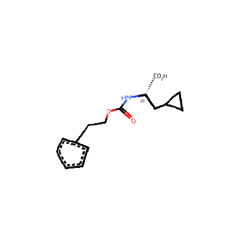 O=C(N[C@@H](CC1CC1)C(=O)O)OCCc1ccccc1